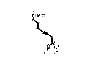 CCCCCCCC/C=C/C#CC=C(OCC)OCC